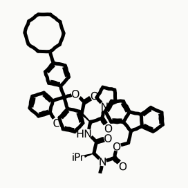 CC(C)[C@@H](C(=O)N[C@@H](CC(=O)OC(c1ccccc1)(c1ccc(C2CCCCCCCCC2)cc1)c1ccccc1Cl)C(=O)N1CCCC1)N(C)C(=O)OCC1c2ccccc2-c2ccccc21